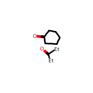 CCC(=O)CC.O=C1CCCCC1